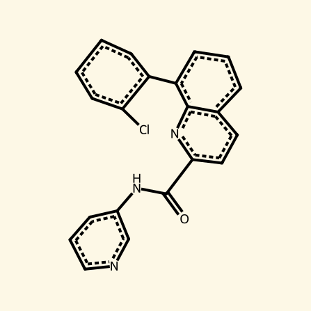 O=C(Nc1cccnc1)c1ccc2cccc(-c3ccccc3Cl)c2n1